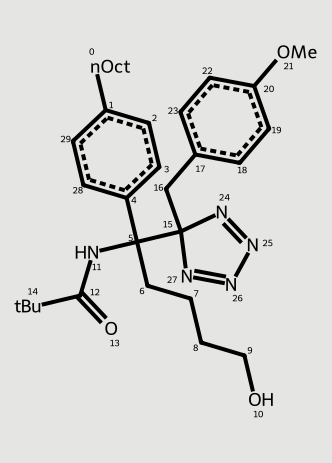 CCCCCCCCc1ccc(C(CCCCO)(NC(=O)C(C)(C)C)C2(Cc3ccc(OC)cc3)N=NN=N2)cc1